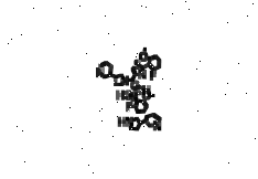 COc1cccc(F)c1-c1nc(C(=O)N2CCC(c3cccnc3)C2)cs1.COc1cccc(F)c1B(O)O.c1cncc(C2CCNC2)c1